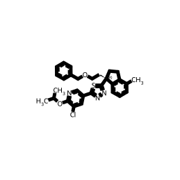 Cc1cccc2c1CC[C@]2(CCOCc1ccccc1)c1nnc(-c2cnc(OC(C)C)c(Cl)c2)s1